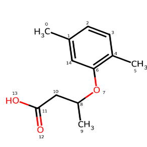 Cc1ccc(C)c(OC(C)CC(=O)O)c1